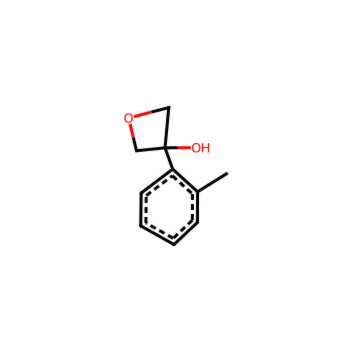 Cc1ccccc1C1(O)COC1